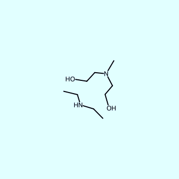 CCNCC.CN(CCO)CCO